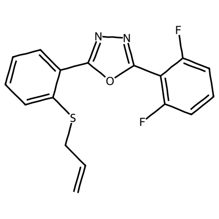 C=CCSc1ccccc1-c1nnc(-c2c(F)cccc2F)o1